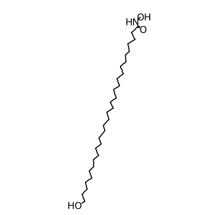 O=C(CCCCCCCCCCCCCCCCCCCCCCCCCCCCCCO)NO